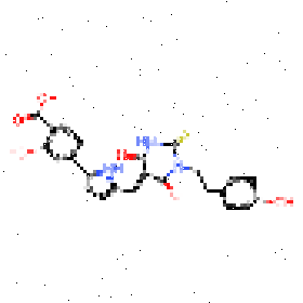 O=C1NC(=S)N(CCc2ccc(O)cc2)C(=O)/C1=C/c1ccc(-c2ccc(C(=O)O)c(O)c2)[nH]1